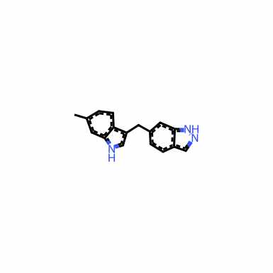 Cc1ccc2c(Cc3ccc4cn[nH]c4c3)c[nH]c2c1